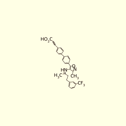 Cc1noc(-c2ccc(-c3ccc(C#CC(=O)O)cc3)cc2)c1N[C@@H](C)CCc1cccc(C(F)(F)F)c1